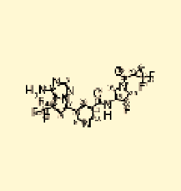 Nc1ncnn2c(-c3cncc(C(=O)N[C@@H]4CN(C(=O)C5CC5(F)F)C[C@@H]4F)c3)cc(C(F)(F)F)c12